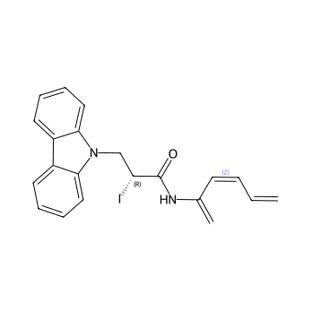 C=C/C=C\C(=C)NC(=O)[C@H](I)Cn1c2ccccc2c2ccccc21